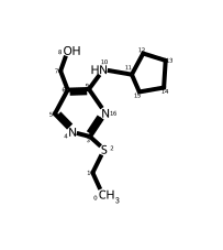 CCSc1ncc(CO)c(NC2CCCC2)n1